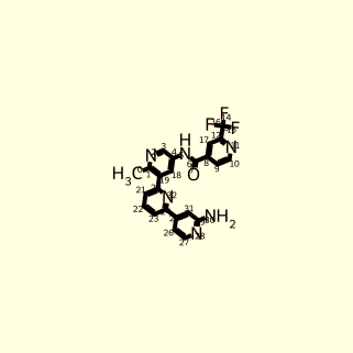 Cc1ncc(NC(=O)c2ccnc(C(F)(F)F)c2)cc1-c1cccc(-c2ccnc(N)c2)n1